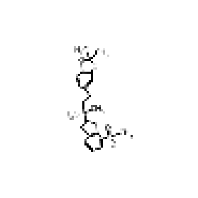 CC1(C)Oc2ccc(CCC(C)(C)N3Cc4cccc(S(C)(=O)=O)c4C3)cc2O1